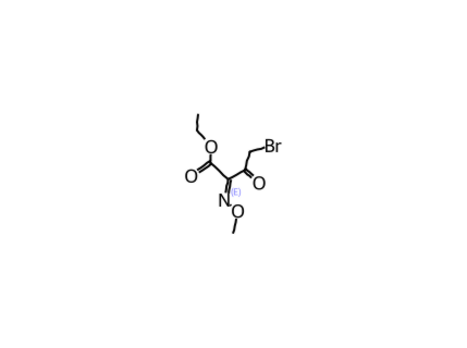 CCOC(=O)/C(=N/OC)C(=O)CBr